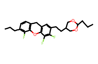 CCCc1ccc2c(c1F)Oc1c(cc(CCC3COC(CCC)OC3)c(F)c1F)C2